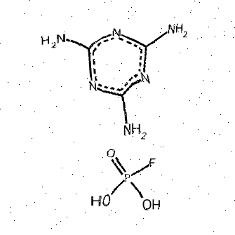 Nc1nc(N)nc(N)n1.O=P(O)(O)F